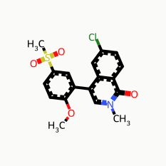 COc1ccc(S(C)(=O)=O)cc1-c1cn(C)c(=O)c2ccc(Cl)cc12